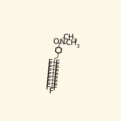 CCN(CC)C(=O)c1ccc(CCC(F)(F)C(F)(F)C(F)(F)C(F)(F)C(F)(F)C(F)(F)C(F)(F)C(F)(F)F)cc1